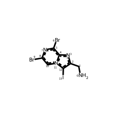 NCc1nc2c(Br)nc(Br)cn2c1I